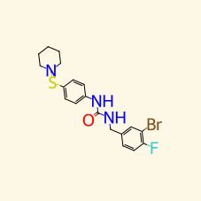 O=C(NCc1ccc(F)c(Br)c1)Nc1ccc(SN2CCCCC2)cc1